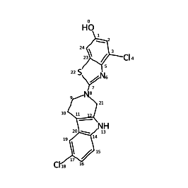 Oc1cc(Cl)c2nc(N3CCc4c([nH]c5ccc(Cl)cc45)C3)sc2c1